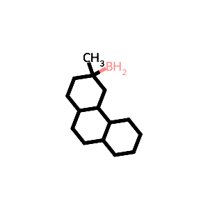 BC1(C)CCC2CCC3CCCCC3C2C1